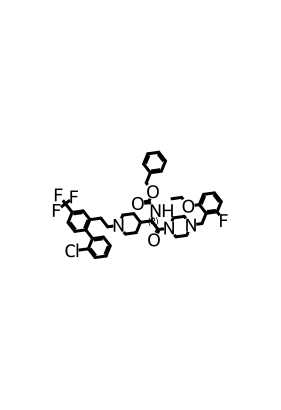 CCOc1cccc(F)c1CN1CCN(C(=O)[C@H](NC(=O)OCc2ccccc2)C2CCN(CCc3cc(C(F)(F)F)ccc3-c3ccccc3Cl)CC2)CC1